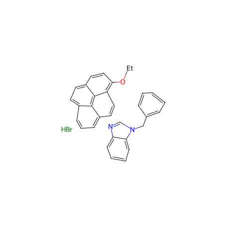 Br.CCOc1ccc2ccc3cccc4ccc1c2c34.c1ccc(Cn2cnc3ccccc32)cc1